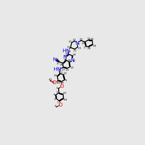 COc1ccc(COc2ccc(Nc3ccc4ncc(NC5CCN(Cc6ccccc6)CC5)nc4c3C#N)cc2OC)cc1